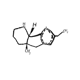 Cc1cc2c(s1)[C@H]1NCCC[C@@]1(C)C2